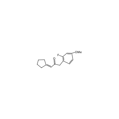 COc1ccc(CC(=O)C=C2CCCC2)c(F)c1